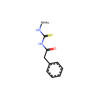 CC(=O)NNC(=S)NC(=O)Cc1ccccc1